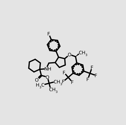 C[C@H](OC1CCC(CNC2(C(=O)OC(C)(C)C)CCCCC2)C1c1ccc(F)cc1)c1cc(C(F)(F)F)cc(C(F)(F)F)c1